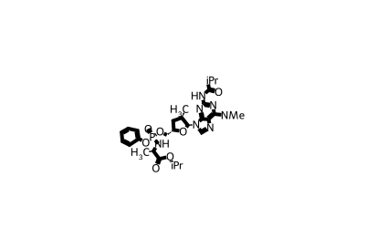 CNc1nc(NC(=O)C(C)C)nc2c1ncn2[C@@H]1O[C@H](COP(=O)(N[C@@H](C)C(=O)OC(C)C)Oc2ccccc2)C[C@@H]1C